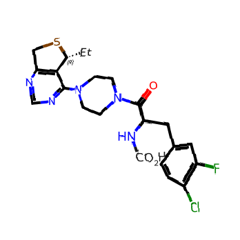 CC[C@H]1SCc2ncnc(N3CCN(C(=O)C(Cc4ccc(Cl)c(F)c4)NC(=O)O)CC3)c21